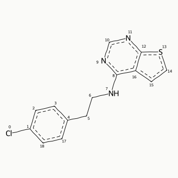 Clc1ccc(CCNc2ncnc3sccc23)cc1